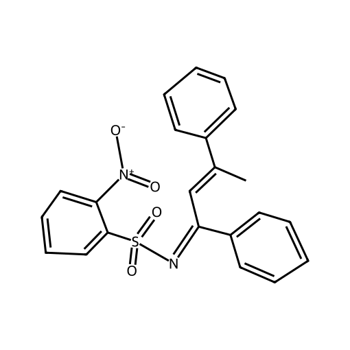 C/C(=C\C(=NS(=O)(=O)c1ccccc1[N+](=O)[O-])c1ccccc1)c1ccccc1